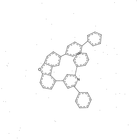 c1ccc(-c2ccc(-c3ccc4oc5cccc(-c6cc(-c7ccccc7)nc(-c7ccccc7)c6)c5c4c3)cc2)cc1